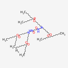 CCCCCCCCC(CCCCCCCC)OC(=O)CCCCCCCN(CCCCCCCOC(=O)C(CCCCCCCC)CCCCCCCC)CCNC(=O)CCC(=O)NCCN(CCCCCCCOC(=O)C(CCCCCCCC)CCCCCCCC)CCCCCCCC(=O)OC(CCCCCCCC)CCCCCCCC